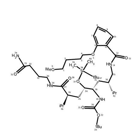 COCCCCOc1ccccc1C(=O)NC[C@@H](C[C@H](NC(=O)OC(C)(C)C)[C@H](C[C@H](C(=O)NCCCC(N)=O)C(C)C)O[Si](C)(C)C(C)(C)C)C(C)C